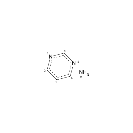 N.c1cncnc1